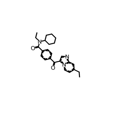 CCc1ccn2c(C(=O)c3ccc(C(=O)N(CC)C4CCCCC4)cc3)cnc2c1